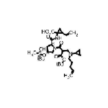 C=CCCCN(CC(C(=O)OC(C)(C)C)C(=O)N1C[C@H](O[Si](C)(C)C(C)(C)C)C[C@H]1C(=O)NC1(C(=O)O)CC1C=C)C1CC1